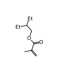 C=C(C)C(=O)OCC(CC)CC